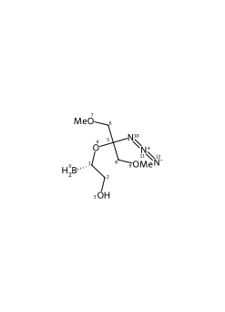 B[C@@H](CO)OC(COC)(COC)N=[N+]=[N-]